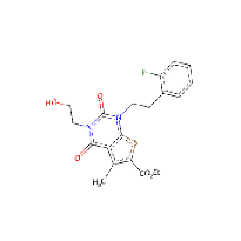 CCOC(=O)c1sc2c(c1C)c(=O)n(CCO)c(=O)n2CCc1ccccc1F